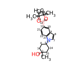 CC1(O)CCC(n2ccc3cc(B4OC(C)(C)C(C)(C)O4)ccc32)CC1